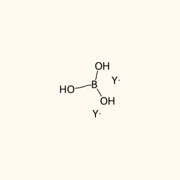 OB(O)O.[Y].[Y]